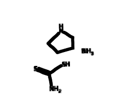 C1CCNC1.NC(=S)S.[BiH3]